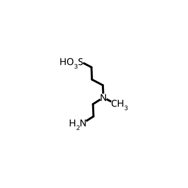 CN(CCN)CCCS(=O)(=O)O